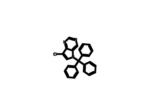 Clc1cn(C(c2ccccc2)(c2ccccc2)c2ccccc2)c2cncnc12